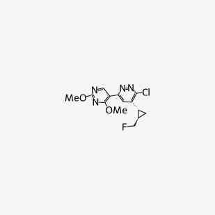 COc1ncc(-c2cc([C@@H]3C[C@H]3CF)c(Cl)nn2)c(OC)n1